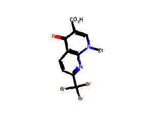 CCn1cc(C(=O)O)c(=O)c2ccc(C(Br)(Br)Br)nc21